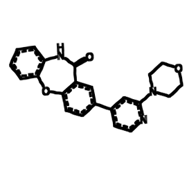 O=C1Nc2ccccc2Oc2ccc(-c3ccnc(N4CCOCC4)c3)cc21